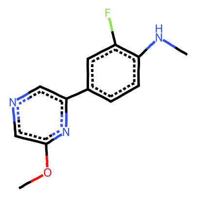 CNc1ccc(-c2cncc(OC)n2)cc1F